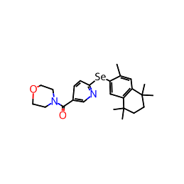 Cc1cc2c(cc1[Se]c1ccc(C(=O)N3CCOCC3)cn1)C(C)(C)CCC2(C)C